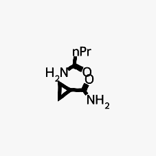 CCCC(N)=O.NC(=O)C1CC1